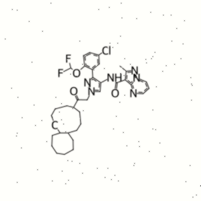 Cc1nn2cccnc2c1C(=O)Nc1cn(CC(=O)C2CCCCC3CCCCCCC3CCC2)nc1-c1cc(Cl)ccc1OC(F)F